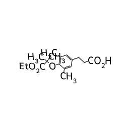 CCOC(=O)C(C)(C)Oc1c(C)cc(CCC(=O)O)cc1C